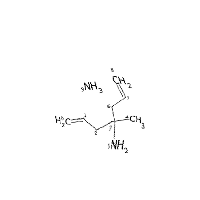 C=CCC(C)(N)CC=C.N